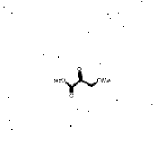 COCC(=O)C(=O)OC(C)=O